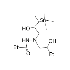 CCC(=O)NN(CC(O)CC)CC(O)[CH](C)[Sn]([CH3])([CH3])[CH3]